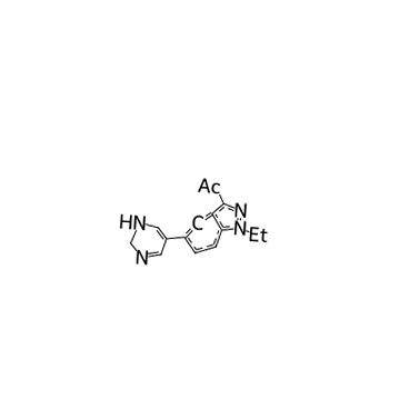 CCn1nc(C(C)=O)c2cc(C3=CNCN=C3)ccc21